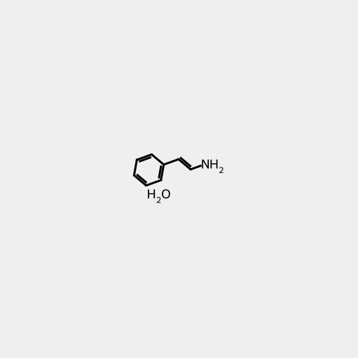 NC=Cc1ccccc1.O